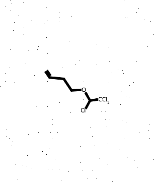 C=CCCOC(Cl)C(Cl)(Cl)Cl